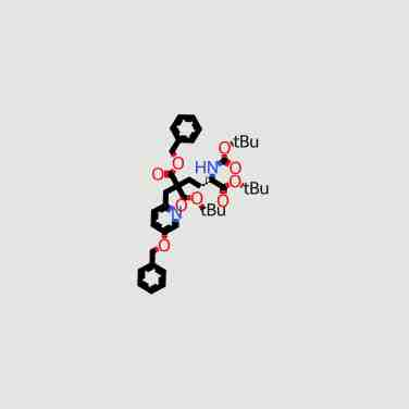 CC(C)(C)OC(=O)N[C@@H](CCC(Cc1ccc(OCc2ccccc2)cn1)(C(=O)OCc1ccccc1)C(=O)OC(C)(C)C)C(=O)OC(C)(C)C